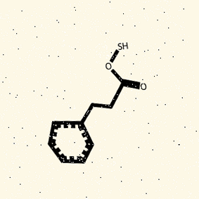 O=C(CCc1ccccc1)OS